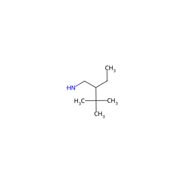 CCC(C[NH])C(C)(C)C